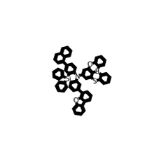 c1ccc([Si]2(c3ccccc3)c3ccc(-c4cccc5c4oc4ccccc45)cc3N(c3cc4c5c(c3)Sc3ccccc3B5c3ccccc3O4)c3ccc(-c4cccc5ccccc45)cc32)cc1